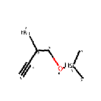 C#CC(CO[SiH](C)C)C(C)(C)C